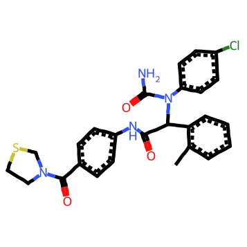 Cc1ccccc1C(C(=O)Nc1ccc(C(=O)N2CCSC2)cc1)N(C(N)=O)c1ccc(Cl)cc1